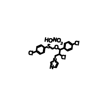 Clc1ccc(SCOC(c2ccc(Cl)cc2)C(Cl)Cn2ccnc2)cc1.O=[N+]([O-])O